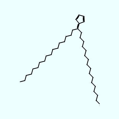 CCCCCCCCCCCCCCCCCC(CCCCCCCCCCCCCCCCC)=C1C=CC=C1